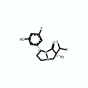 CC[C@]1(C(F)F)CN2CC[C@H](c3cc(F)cc(C#N)c3)N2C1=O